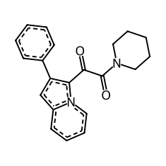 O=C(C(=O)N1CCCCC1)c1c(-c2ccccc2)cc2ccccn12